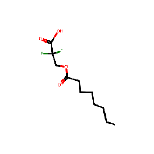 CCCCCCCC(=O)OCC(F)(F)C(=O)O